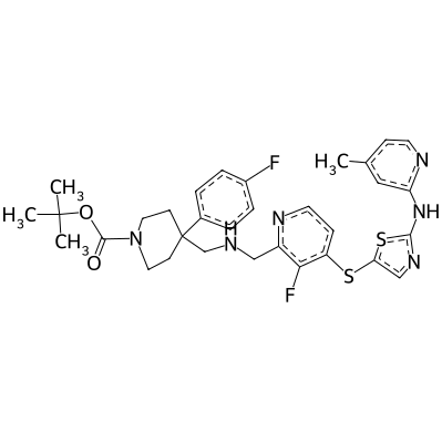 Cc1ccnc(Nc2ncc(Sc3ccnc(CNCC4(c5ccc(F)cc5)CCN(C(=O)OC(C)(C)C)CC4)c3F)s2)c1